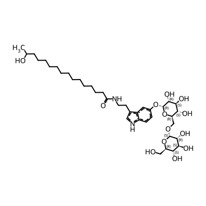 CC(O)CCCCCCCCCCCCCC(=O)NCCc1c[nH]c2ccc(O[C@H]3O[C@H](CO[C@H]4O[C@H](CO)[C@@H](O)[C@H](O)[C@H]4O)[C@@H](O)[C@H](O)[C@H]3O)cc12